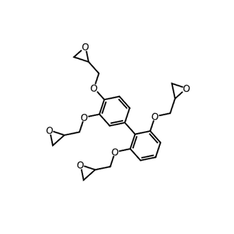 c1cc(OCC2CO2)c(-c2ccc(OCC3CO3)c(OCC3CO3)c2)c(OCC2CO2)c1